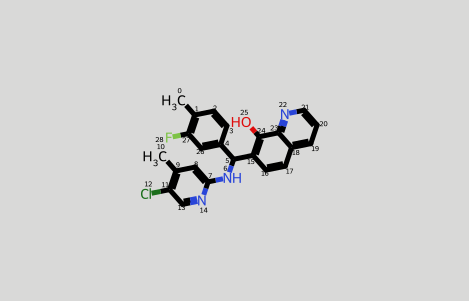 Cc1ccc(C(Nc2cc(C)c(Cl)cn2)c2ccc3cccnc3c2O)cc1F